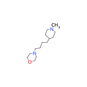 CN1CCC(CCCCN2CCOCC2)CC1